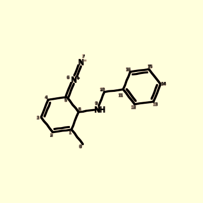 CC1=CC=CC(=[N+]=[N-])C1NCc1ccccc1